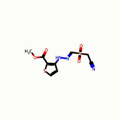 COC(=O)c1sccc1NN=CS(=O)(=O)CC#N